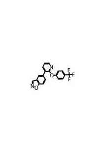 FC(F)(F)c1ccc(Oc2ncccc2-c2ccc3oncc3c2)cc1